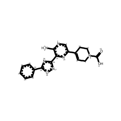 Nc1ncc(C2=CCN(C(=O)O)CC2)nc1-c1noc(-c2ccccc2)n1